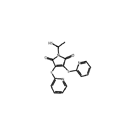 CC(S)N1C(=O)C(Sc2ccccn2)=C(Sc2ccccn2)C1=O